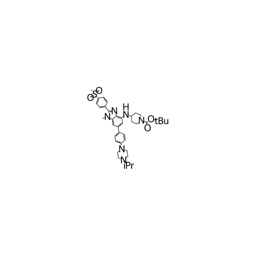 CC(C)N1CCN(c2ccc(-c3cc(NC4CCN(C(=O)OC(C)(C)C)CC4)c4nc(-c5ccc(S(C)(=O)=O)cc5)n(C)c4c3)cc2)CC1